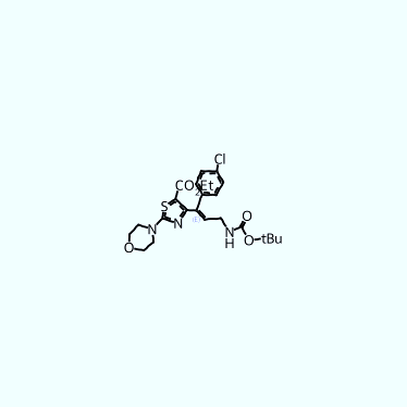 CCOC(=O)c1sc(N2CCOCC2)nc1/C(=C/CNC(=O)OC(C)(C)C)c1ccc(Cl)cc1